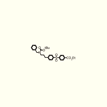 CCOC(=O)c1ccc(S(=O)(=O)c2ccc(CCCN(Cc3ccccc3)C(=O)OC(C)(C)C)cc2)cc1